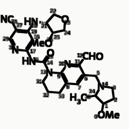 COC1CCN(Cc2cc3c(nc2C=O)N(C(=O)Nc2cc(N[C@@H]4COC[C@H]4OC)c(C#N)cn2)CCC3)C1C